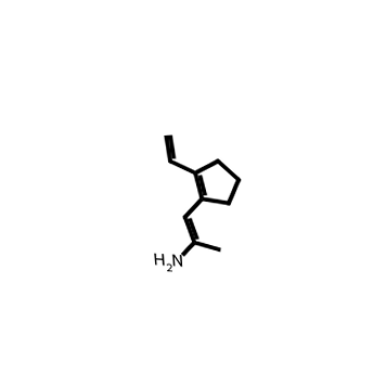 C=CC1=C(/C=C(\C)N)CCC1